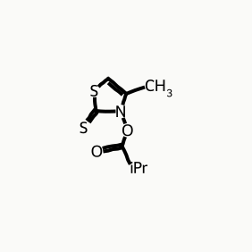 Cc1csc(=S)n1OC(=O)C(C)C